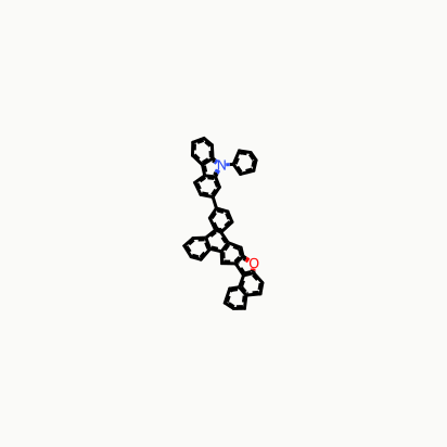 c1ccc(-n2c3ccccc3c3ccc(-c4ccc5c(c4)c4ccccc4c4cc6c(cc54)oc4ccc5ccccc5c46)cc32)cc1